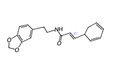 O=C(/C=C/C1C=CC=CC1)NCCc1ccc2c(c1)OCO2